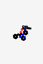 CON(C(=O)C=O)c1cccc(-n2c(=O)c(Cc3ccccc3)nc3cccnc32)c1